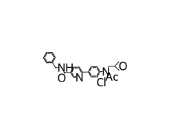 CC(=O)N(CC1COC1)c1ccc(-c2ccc(C(=O)NCc3ccccc3)cn2)cc1Cl